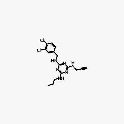 C#CCNc1nc(NCCC)nc(NCc2ccc(Cl)c(Cl)c2)n1